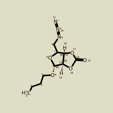 CCCCO[C@@H]1OC(CN=[N+]=[N-])[C@H]2OC(=O)O[C@@H]12